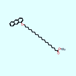 CC(C)(C)OC(=O)CCCCCCCCCCCCCCCCCCCCOc1cccc2cc3ccccc3cc12